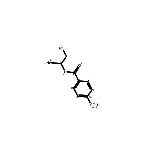 CCCCCCC(CC(C)C)OC(=O)c1ccc(C(=O)O)cc1